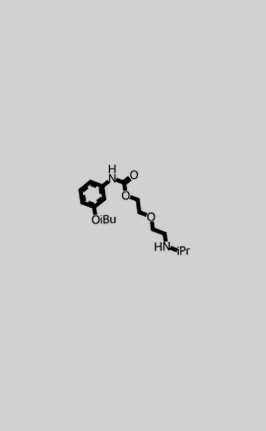 CC(C)COc1cccc(NC(=O)OCCOCCNC(C)C)c1